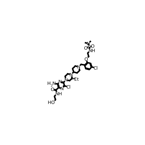 CC[C@H]1CN(c2nc(N)c(C(=O)NCCO)nc2Cl)CCN1C1CCN(Cc2ccc(Cl)cc2OCCNS(=O)(=O)N(C)C)CC1